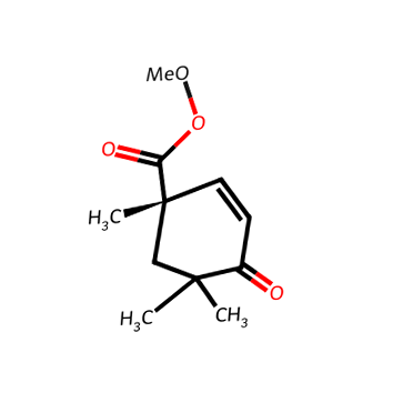 COOC(=O)[C@]1(C)C=CC(=O)C(C)(C)C1